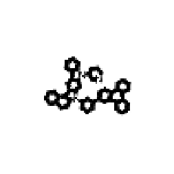 c1cncc(-n2c3ccccc3c3cc4c5c6ccccc6ccc5n(-c5cccc(-c6ccc7c8ccccc8c8ccccc8c7c6)c5)c4cc32)c1